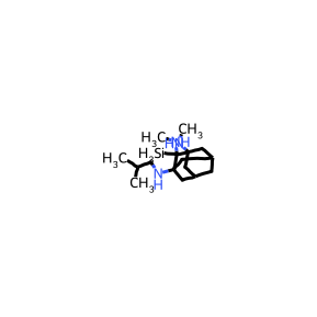 CNC12CC3CC(C1)CC(NCC(C)C)(C3)C2([SiH3])NC